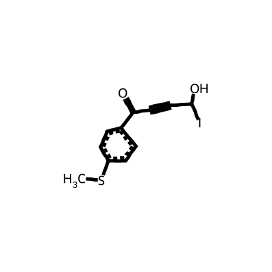 CSc1ccc(C(=O)C#CC(O)I)cc1